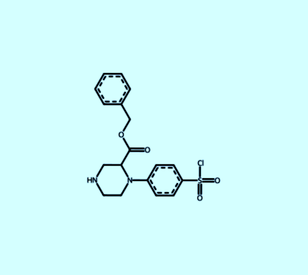 O=C(OCc1ccccc1)C1CNCCN1c1ccc(S(=O)(=O)Cl)cc1